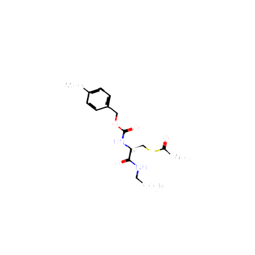 CCCCCCCCCC(=O)SC[C@H](NC(=O)OCc1ccc(OC)cc1)C(=O)NCC(=O)O